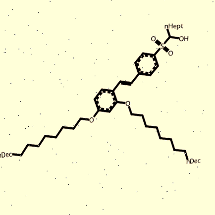 CCCCCCCCCCCCCCCCCCOc1ccc(C=Cc2ccc(S(=O)(=O)C(O)CCCCCCC)cc2)c(OCCCCCCCCCCCCCCCCCC)c1